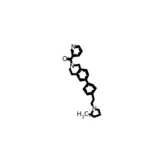 C[C@@H]1CCCN1CCc1ccc(-c2ccc3c(c2)CCN(C(=O)c2cccnc2)C3)cc1